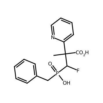 CC(C(=O)O)(c1ccccn1)C(F)P(=O)(O)Cc1ccccc1